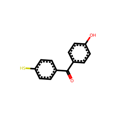 O=C(c1ccc(O)cc1)c1ccc(S)cc1